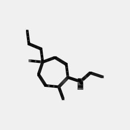 CCCC1(C)CCC(C)C(NCC)CC1